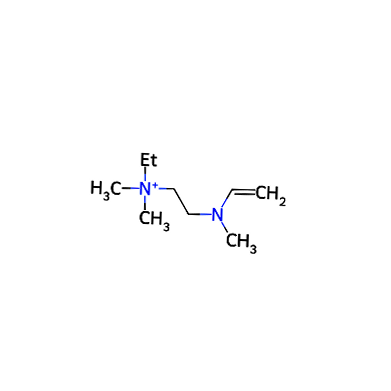 C=CN(C)CC[N+](C)(C)CC